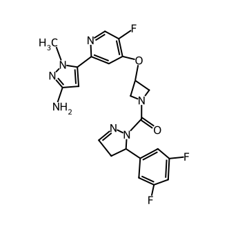 Cn1nc(N)cc1-c1cc(OC2CN(C(=O)N3N=CCC3c3cc(F)cc(F)c3)C2)c(F)cn1